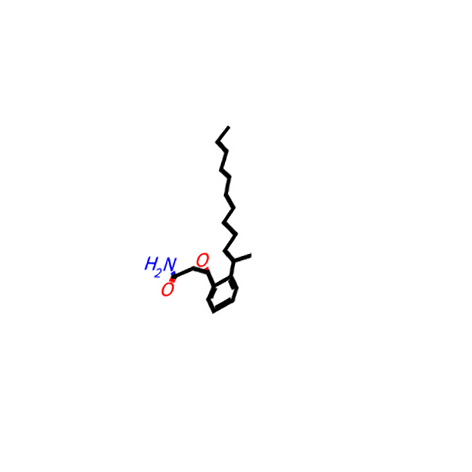 CCCCCCCCCCC(C)c1ccccc1C1OC1C(N)=O